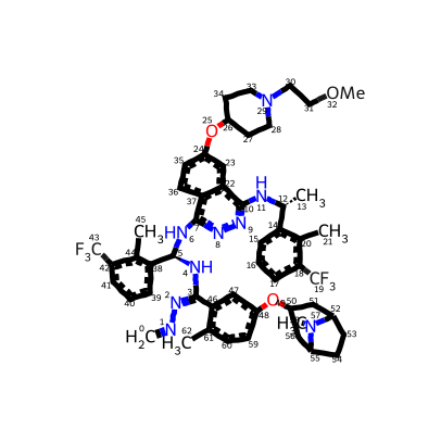 C=N/N=C(/N[C@H](Nc1nnc(N[C@H](C)c2cccc(C(F)(F)F)c2C)c2cc(OC3CCN(CCOC)CC3)ccc12)c1cccc(C(F)(F)F)c1C)c1cc(OC2CC3CCC(C2)N3C)ccc1C